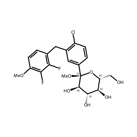 COc1ccc(Cc2cc([C@]3(OC)O[C@H](CO)[C@@H](O)[C@H](O)[C@H]3O)ccc2Cl)c(F)c1F